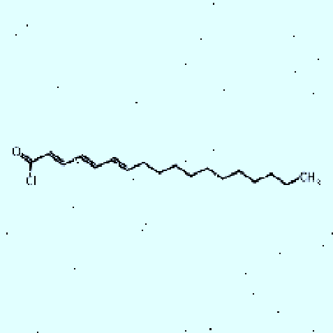 CCCCCCCCCCCC=CC=CC=CC(=O)Cl